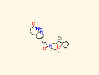 CCc1c(CN(C)C(=O)/C=C/c2cnc3c(c2)CCCC(=O)N3)oc2ccccc12